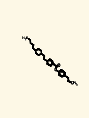 CCCCCC1CCC(CCc2ccc(C(=O)Oc3ccc(CCC)cc3)cc2)CC1